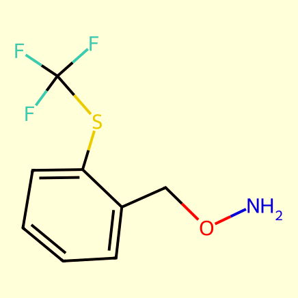 NOCc1ccccc1SC(F)(F)F